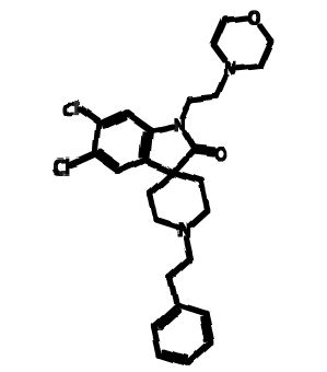 O=C1N(CCN2CCOCC2)c2cc(Cl)c(Cl)cc2C12CCN(CCc1ccccc1)CC2